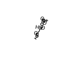 CC(C)C1CCN(C(=O)CCCCCNC(=O)C2CCC(CN3C(=O)CC(C(C)(C)C)C3=O)CC2)C1